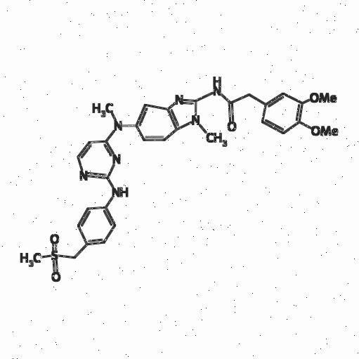 COc1ccc(CC(=O)Nc2nc3cc(N(C)c4ccnc(Nc5ccc(CS(C)(=O)=O)cc5)n4)ccc3n2C)cc1OC